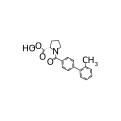 Cc1ccccc1-c1ccc(C(=O)N2CCC[C@H]2C(=O)OO)cc1